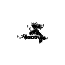 CCC(C)n1ncn(-c2ccc(N3CCN(c4ccc(OC[C@H]5CO[C@](Cn6cncn6)(c6ccc(Cl)cc6Cl)O5)cc4)CC3)cc2)c1=O.CO[C@@]1(NC(=O)Cc2cccs2)C(=O)N2C(C(=O)O)=C(COC(N)=O)CS[C@@H]21.Nc1ncnc2c1ncn2[C@@H]1O[C@H](CO)[C@@H](O)[C@@H]1O.O